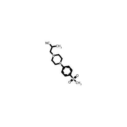 CC(C#N)CN1CCN(c2ccc(S(C)(=O)=O)cc2)CC1